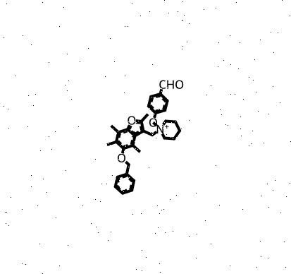 Cc1oc2c(C)c(C)c(OCc3ccccc3)c(C)c2c1C[N+]1(Oc2ccc(C=O)cc2)CCCCC1